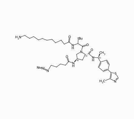 Cc1ncsc1-c1ccc([C@H](C)NC(=O)[C@@H]2C[C@@H](NC(=O)CCCCN=[N+]=[N-])CN2C(=O)C(NC(=O)CCCCCCCCCCN)C(C)(C)C)cc1